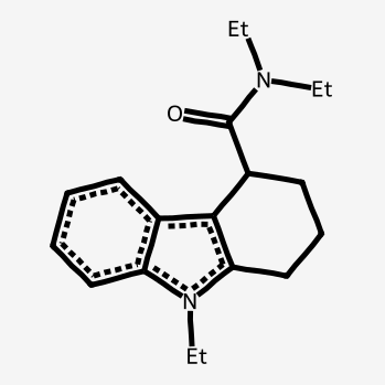 CCN(CC)C(=O)C1CCCc2c1c1ccccc1n2CC